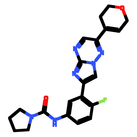 O=C(Nc1ccc(F)c(-c2cn3nc(C4=CCOCC4)cnc3n2)c1)N1CCCC1